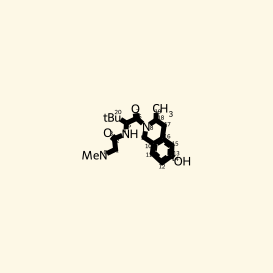 CNCC(=O)NC(C(=O)N1Cc2ccc(O)cc2CC1C)C(C)(C)C